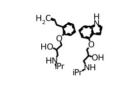 C=CCc1ccccc1OCC(O)CNC(C)C.CC(C)NCC(O)COc1cccc2[nH]ccc12